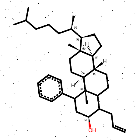 C=CCC1C2CC[C@@H]3[C@H](CC[C@]4(C)[C@@H]([C@H](C)CCCC(C)C)CC[C@@H]34)[C@@]2(C)C(c2ccccc2)C[C@@H]1O